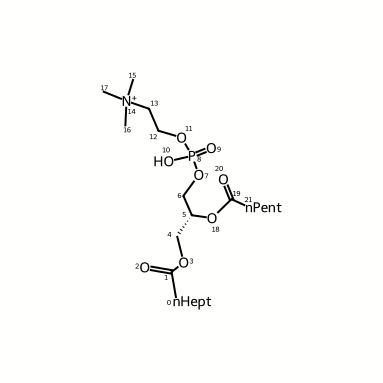 CCCCCCCC(=O)OC[C@H](COP(=O)(O)OCC[N+](C)(C)C)OC(=O)CCCCC